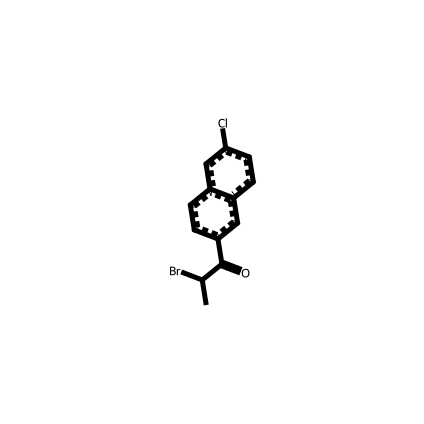 CC(Br)C(=O)c1ccc2cc(Cl)ccc2c1